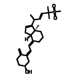 C=C1CC[C@H](O)C/C1=C/C=C1\CCC[C@]2(C)C(C(C)/C=C/C(C)(C)S(C)(=O)=O)=CC[C@@H]12